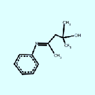 C/C(CC(C)(O)C(F)(F)F)=N\c1ccccc1